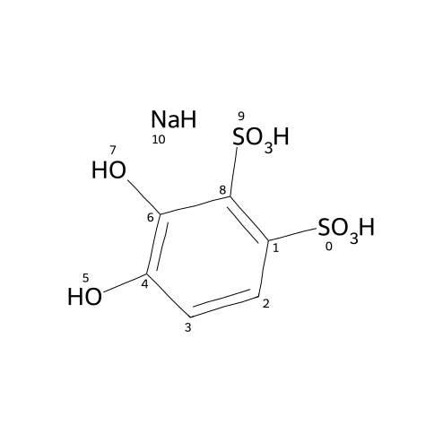 O=S(=O)(O)c1ccc(O)c(O)c1S(=O)(=O)O.[NaH]